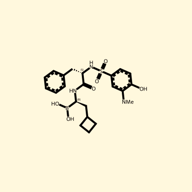 CNc1cc(S(=O)(=O)N[C@@H](Cc2ccccc2)C(=O)N[C@@H](CC2CCC2)B(O)O)ccc1O